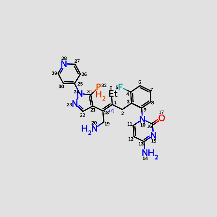 CC/C(Cc1c(F)cccc1-n1ccc(N)nc1=O)=C(/CN)c1cnn(-c2ccncc2)c1P